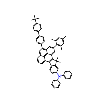 Cc1cc(C)c(-c2cc3c(-c4ccc(-c5ccc(C(C)(C)C)cc5)cc4)cc4cccc5c6c(c(c2)c3c45)C(C)(C)c2cc(N(c3ccccc3)c3ccccc3)ccc2-6)c(C)c1